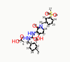 Cc1ccc([C@H](CC(=O)O)NC(=O)Nc2c(O)ccn(Cc3cccc(S(C)(=O)=O)c3)c2=O)cc1